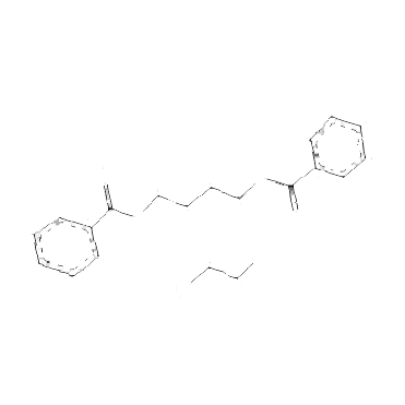 O=C(OCCCCOC(=O)c1ccccc1)c1ccccc1.[CH2]CC[CH2]